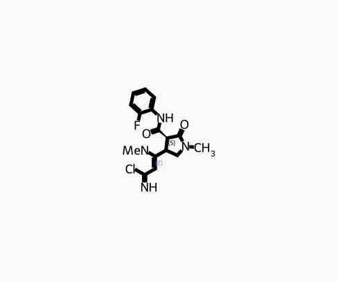 CN/C(=C\C(=N)Cl)C1CN(C)C(=O)[C@@H]1C(=O)Nc1ccccc1F